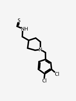 S=CNCC1CCN(Cc2ccc(Cl)c(Cl)c2)CC1